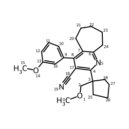 COCC1(c2nc3c(c(-c4cccc(OC)c4)c2C#N)CCCCC3)CCCC1